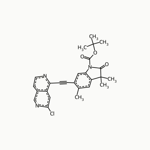 Cc1cc2c(cc1C#Cc1nccc3cnc(Cl)cc13)N(C(=O)OC(C)(C)C)C(=O)C2(C)C